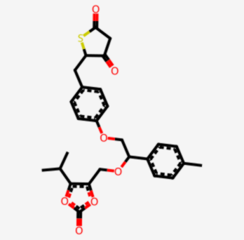 Cc1ccc(C(COc2ccc(CC3SC(=O)CC3=O)cc2)OCc2oc(=O)oc2C(C)C)cc1